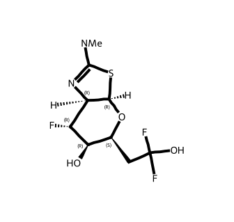 CNC1=N[C@@H]2[C@@H](F)[C@H](O)[C@H](CC(O)(F)F)O[C@@H]2S1